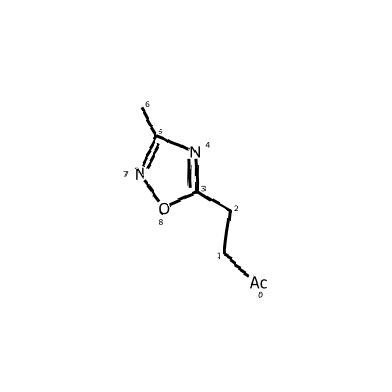 CC(=O)CCc1nc(C)no1